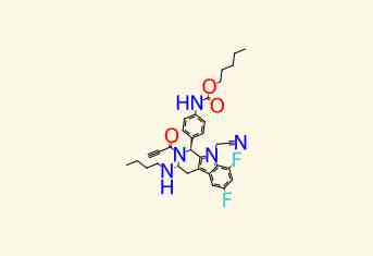 C#CC(=O)N1[C@@H](c2ccc(NC(=O)OCCCCC)cc2)c2c(c3cc(F)cc(F)c3n2CC#N)C[C@@H]1NCCCC